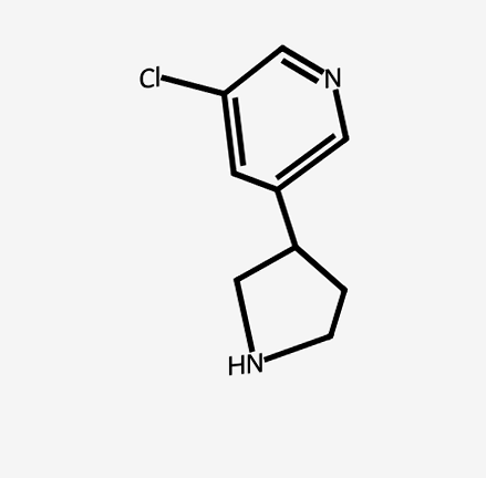 Clc1cncc(C2CCNC2)c1